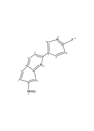 CC(=O)Nc1ccc2ccc(-c3ccc(F)nc3)nc2c1